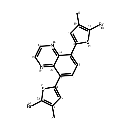 Cc1cc(-c2ccc(-c3cc(C)c(Br)s3)c3nccnc23)sc1Br